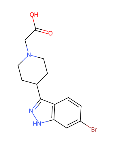 O=C(O)CN1CCC(c2n[nH]c3cc(Br)ccc23)CC1